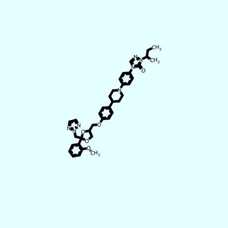 CCC(C)n1ncn(-c2ccc(N3CCC(c4ccc(OCC5COC(Cn6nccn6)(c6ccccc6OC)O5)cc4)CC3)cc2)c1=O